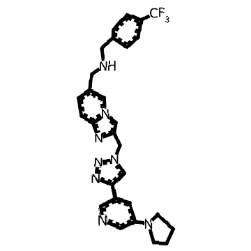 FC(F)(F)c1ccc(CNCc2ccc3nc(Cn4cc(-c5cncc(N6CCCC6)c5)nn4)cn3c2)cc1